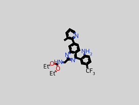 CCOC(NCc1nc(-c2cc(C(F)(F)F)ccc2N)c2ccc(-c3ncccc3C)cc2n1)OCC